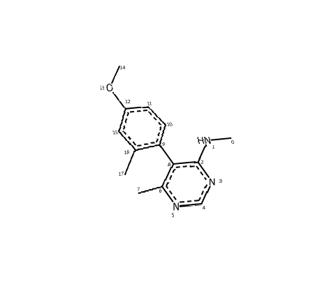 CNc1ncnc(C)c1-c1ccc(OC)cc1C